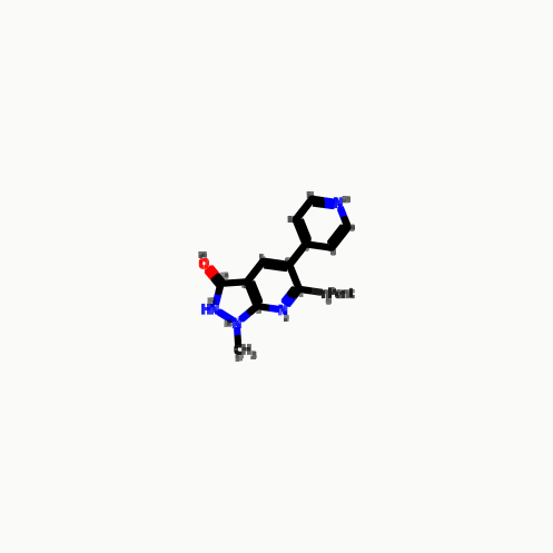 CCCCCc1nc2c(cc1-c1ccncc1)c(=O)[nH]n2C